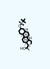 C[C@@H](O)[C@H]1CC[C@H]2[C@@H]3CC[C@H]4C[C@H](O[Si](C)(C)C(C)(C)C)CC[C@]4(C)[C@H]3CC[C@]12C